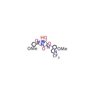 COc1ccc(-c2nc(C(=O)NCc3coc4cccc(OC)c34)c([C@@H](N)CO)o2)c2ccc(C(F)(F)F)nc12